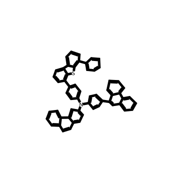 c1ccc(-c2cccc3c2sc2c(-c4ccc(N(c5ccc(-c6cc7ccccc7c7ccccc67)cc5)c5ccc6ccc7ccccc7c6c5)cc4)cccc23)cc1